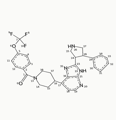 O=C(c1ccc(OC(F)(F)F)cc1)N1CCC(c2ccnc3[nH]c(C4CNCC4c4ccccc4)nc23)CC1